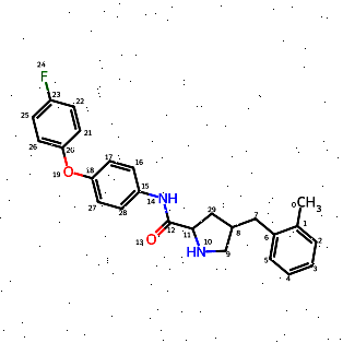 Cc1ccccc1CC1CNC(C(=O)Nc2ccc(Oc3ccc(F)cc3)cc2)C1